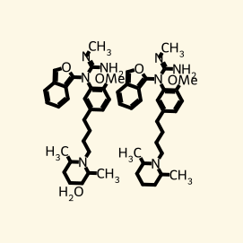 CN=C(N)N(c1cc(CCCCN2C(C)CCCC2C)ccc1OC)c1occ2ccccc12.CN=C(N)N(c1cc(CCCCN2C(C)CCCC2C)ccc1OC)c1occ2ccccc12.O